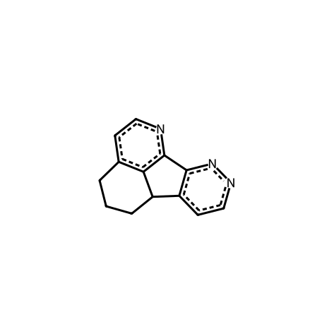 c1cc2c(nn1)-c1nccc3c1C2CCC3